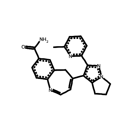 Cc1cccc(-c2nn3c(c2C2=CC=Nc4ccc(C(N)=O)cc4C2)CCC3)n1